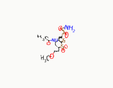 COCCC1CC(NC(C)=O)c2cc(S(N)(=O)=O)sc2S1(=O)=O